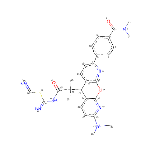 CN(C)C(=O)c1ccc(-c2ccc3c(n2)Oc2nc(N(C)C)ccc2C3C(C)(C)C(=O)NC(=N)SC=N)cc1